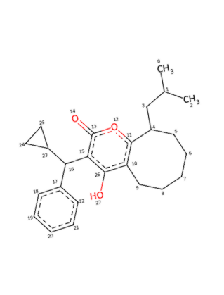 CC(C)CC1CCCCCc2c1oc(=O)c(C(c1ccccc1)C1CC1)c2O